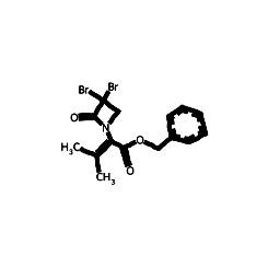 CC(C)=C(C(=O)OCc1ccccc1)N1CC(Br)(Br)C1=O